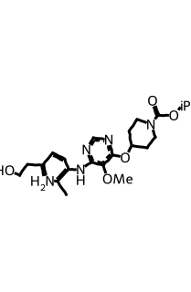 C=C(/C=C\C(Nc1ncnc(OC2CCN(C(=O)OC(C)C)CC2)c1OC)=C(\C)N)CCO